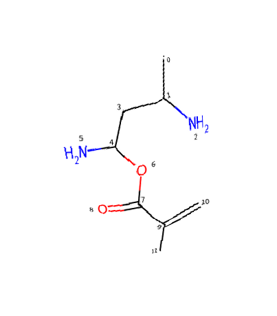 [CH2]C(N)CC(N)OC(=O)C(=C)C